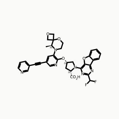 C[C@@H]1N(c2cc(C#Cc3cccnc3)cnc2O[C@H]2C[C@@H](C(=O)O)N(c3nc(C(F)F)nc4c3oc3ccccc34)C2)CCOC12COC2